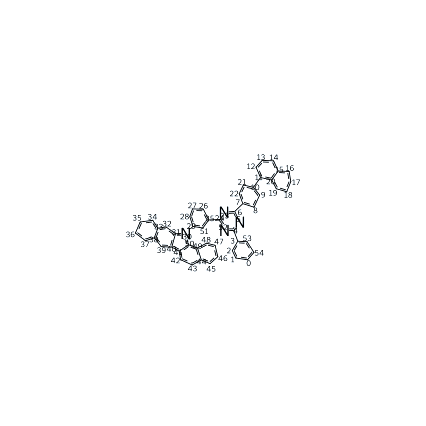 c1ccc(-c2nc(-c3ccc(-c4cccc5ccccc45)cc3)nc(-c3cccc(-n4c5cc6ccccc6cc5c5ccc6ccccc6c54)c3)n2)cc1